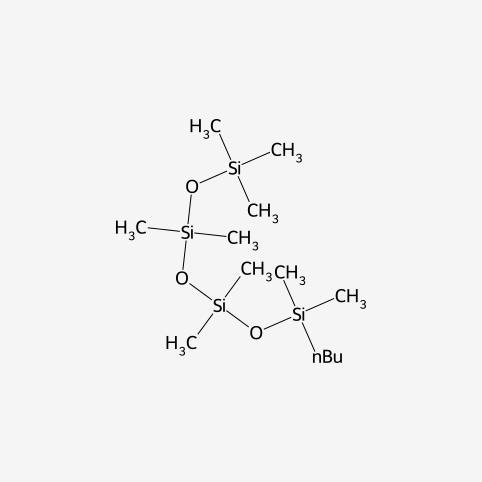 CCCC[Si](C)(C)O[Si](C)(C)O[Si](C)(C)O[Si](C)(C)C